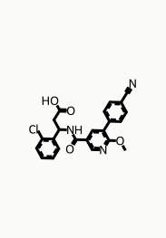 COc1ncc(C(=O)NC(CC(=O)O)c2ccccc2Cl)cc1-c1ccc(C#N)cc1